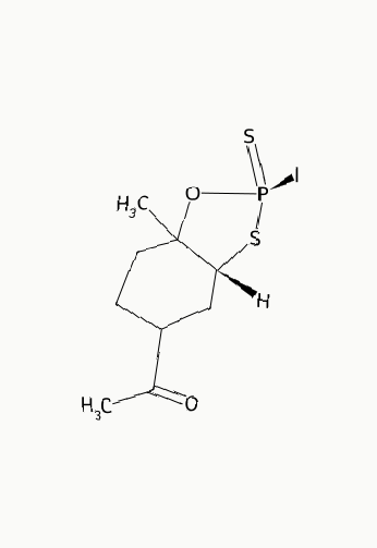 CC(=O)C1CCC2(C)O[P@@](=S)(I)S[C@@H]2C1